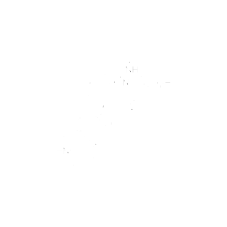 Cc1ccc(N(N)C(=O)C(C)(C)O)cc1-c1ccc2c(c1)=CNCC=2